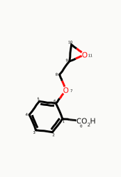 O=C(O)c1ccccc1OCC1CO1